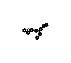 c1ccc(-c2cccc(N(c3ccc(-c4ccc5ccccc5c4)cc3)c3ccc(-c4ccc5oc6c(-c7ccccc7)cccc6c5c4)cc3)c2)cc1